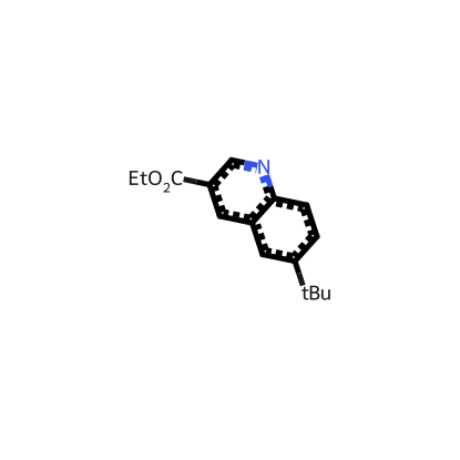 CCOC(=O)c1cnc2ccc(C(C)(C)C)cc2c1